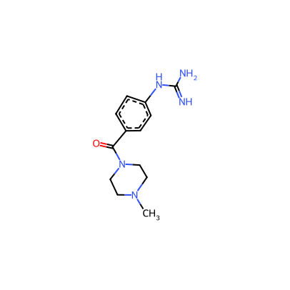 CN1CCN(C(=O)c2ccc(NC(=N)N)cc2)CC1